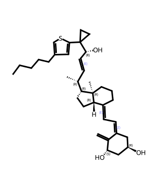 C=C1/C(=C\C=C2/CCC[C@]3(C)[C@@H]([C@H](C)/C=C/[C@@H](O)C4(c5cc(CCCCC)cs5)CC4)CC[C@@H]23)C[C@@H](O)C[C@@H]1O